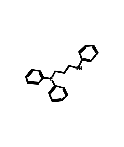 c1ccc(PCCCP(c2ccccc2)c2ccccc2)cc1